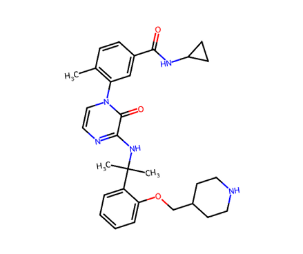 Cc1ccc(C(=O)NC2CC2)cc1-n1ccnc(NC(C)(C)c2ccccc2OCC2CCNCC2)c1=O